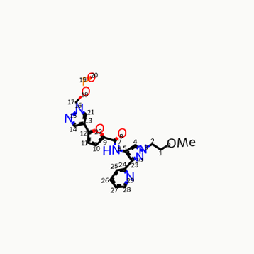 COCCn1cc(NC(=O)c2ccc(-c3cnn(COP=O)c3)o2)c(-c2ccccn2)n1